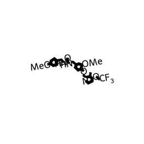 COc1ccc(CNC(=O)NCc2ccc(OCc3nccc(OCC(F)(F)F)c3C)c(OC)c2)cc1